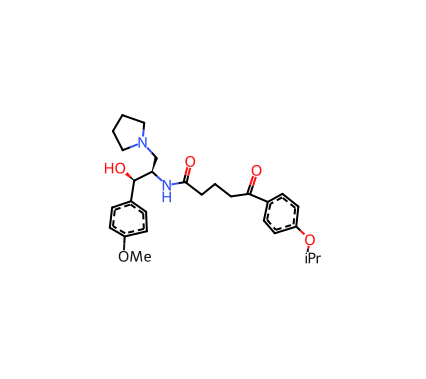 COc1ccc([C@@H](O)[C@@H](CN2CCCC2)NC(=O)CCCC(=O)c2ccc(OC(C)C)cc2)cc1